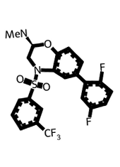 CN[C@@H]1CN(S(=O)(=O)c2cccc(C(F)(F)F)c2)c2cc(-c3cc(F)ccc3F)ccc2O1